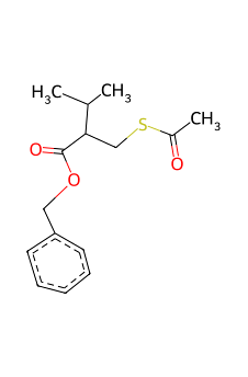 CC(=O)SCC(C(=O)OCc1ccccc1)C(C)C